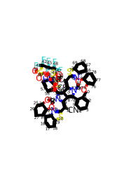 Cc1ccccc1-c1c2/c(=C(\C#N)c3nc4ccccc4s3)n(B3Oc4ccccc4O3)c(-c3ccc(OS(=O)(=O)C(F)(F)C(F)(F)C(F)(F)S(=O)(=O)NS(=O)(=O)C(F)(F)F)cc3)c2/c(=C(\C#N)c2nc3ccccc3s2)n1B1Oc2ccccc2O1